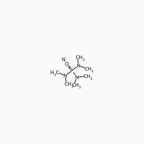 CN(C)P(=O)(N(C)C)N(C)C.[N]